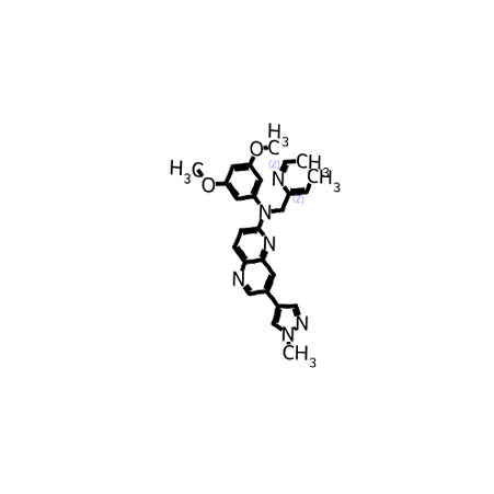 C/C=N\C(=C/C)CN(c1cc(OC)cc(OC)c1)c1ccc2ncc(-c3cnn(C)c3)cc2n1